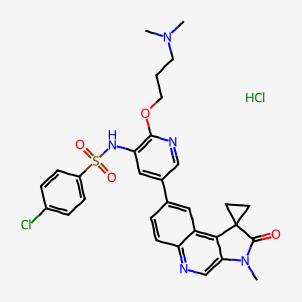 CN(C)CCCOc1ncc(-c2ccc3ncc4c(c3c2)C2(CC2)C(=O)N4C)cc1NS(=O)(=O)c1ccc(Cl)cc1.Cl